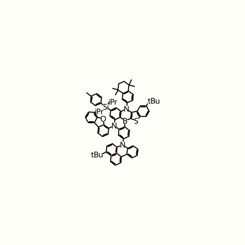 Cc1ccc([Si](c2cc3c4c(c2)N(c2cccc5c2oc2ccccc25)c2cc(N(c5ccc(C(C)(C)C)cc5)c5ccccc5-c5ccccc5)ccc2B4c2sc4ccc(C(C)(C)C)cc4c2N3c2ccc3c(c2)C(C)(C)CCC3(C)C)(C(C)C)C(C)C)cc1